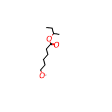 CCC(C)OC(=O)CCCCC[O]